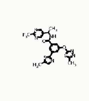 Cc1cnc(-c2cc(Oc3nnc(C)s3)cc(C(=O)NC(C)c3cnc(C(F)(F)F)nc3)c2)s1